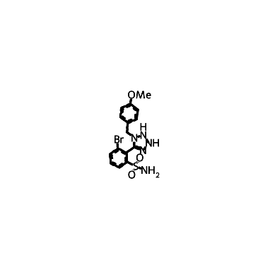 COc1ccc(CN2NNN=C2c2c(Br)cccc2S(N)(=O)=O)cc1